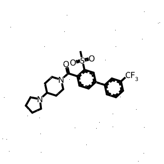 CS(=O)(=O)c1cc(-c2cccc(C(F)(F)F)c2)ccc1C(=O)N1CCC(N2CCCC2)CC1